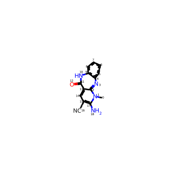 CN1C2=Nc3ccccc3NC(=O)C2=CC(C#N)=C1N